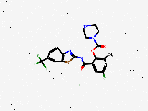 Cc1cc(Cl)cc(C(=O)Nc2nc3ccc(C(F)(F)F)cc3s2)c1OC(=O)N1CCNCC1.Cl